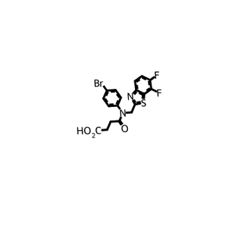 O=C(O)CCC(=O)N(Cc1nc2ccc(F)c(F)c2s1)c1ccc(Br)cc1